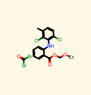 CCOCOC(=O)c1ccccc1Nc1c(Cl)ccc(C)c1Cl.O=C(Br)Br